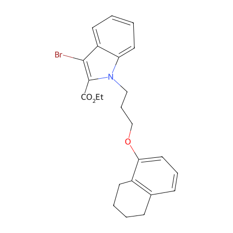 CCOC(=O)c1c(Br)c2ccccc2n1CCCOc1cccc2c1CCCC2